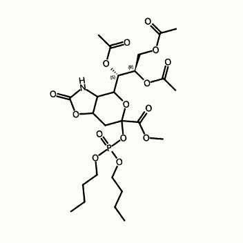 CCCCOP(=O)(OCCCC)OC1(C(=O)OC)CC2OC(=O)NC2C([C@H](OC(C)=O)[C@@H](COC(C)=O)OC(C)=O)O1